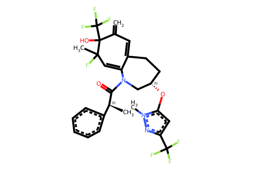 C=C1C=C2CC[C@H](Oc3cc(C(F)(F)F)nn3C)CN(C(=O)[C@@H](C)c3ccccc3)C2=CC(C)(F)C1(O)C(F)(F)F